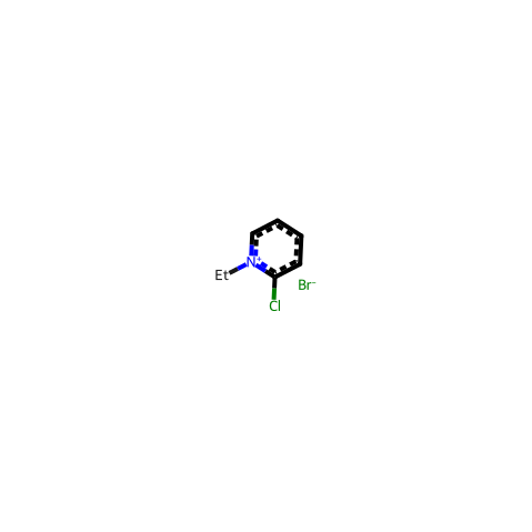 CC[n+]1ccccc1Cl.[Br-]